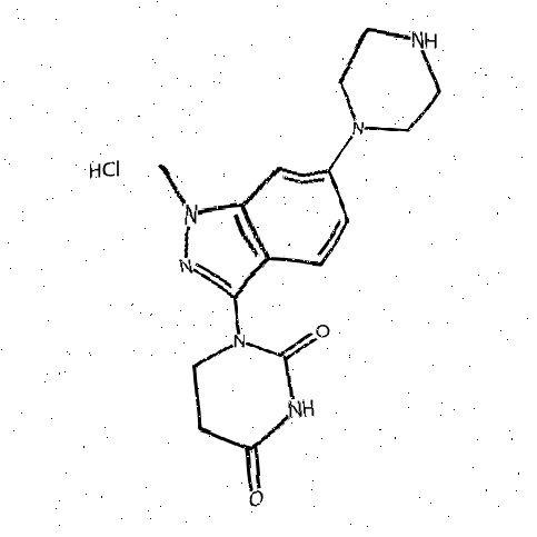 Cl.Cn1nc(N2CCC(=O)NC2=O)c2ccc(N3CCNCC3)cc21